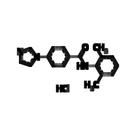 Cc1cccc(C)c1NC(=O)c1ccc(-n2ccnc2)cc1.Cl